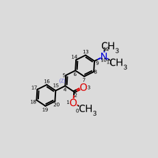 COC(=O)/C(=C\c1ccc(N(C)C)cc1)c1ccccc1